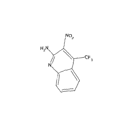 Nc1nc2ccccc2c(C(F)(F)F)c1[N+](=O)[O-]